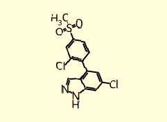 CS(=O)(=O)c1ccc(-c2cc(Cl)cc3[nH]ncc23)c(Cl)c1